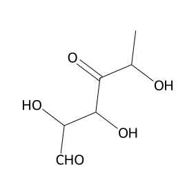 CC(O)C(=O)C(O)C(O)C=O